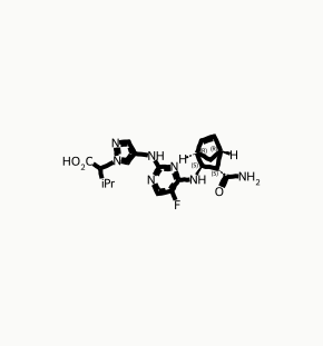 CC(C)C(C(=O)O)n1cc(Nc2ncc(F)c(N[C@@H]3[C@@H](C(N)=O)[C@H]4C=C[C@H]3C4)n2)cn1